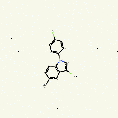 CC(=O)c1ccc2c(c1)c(F)cn2-c1ccc(F)cc1